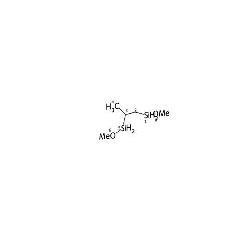 CO[SiH2]CC(C)[SiH2]OC